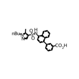 CCCCn1ncc(S(=O)(=O)Nc2ccc(-c3cccc(C(=O)O)c3)c3ccccc23)c1C